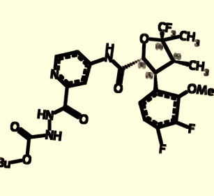 COc1c([C@H]2[C@H](C(=O)Nc3ccnc(C(=O)NNC(=O)OC(C)(C)C)c3)O[C@@](C)(C(F)(F)F)[C@H]2C)ccc(F)c1F